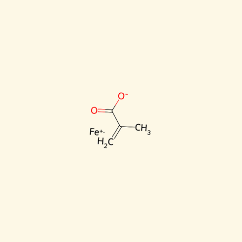 C=C(C)C(=O)[O-].[Fe+]